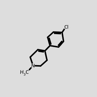 CN1CC=C(c2ccc(Cl)cc2)CC1